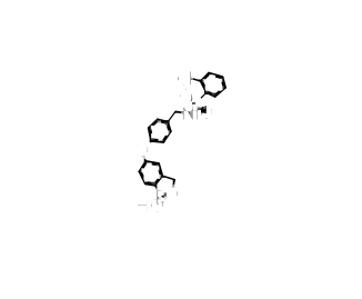 O=S(=O)(NCc1ccc(Oc2ccc3c(c2)COB3O)cc1)c1ccccc1Cl